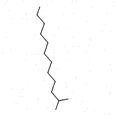 [CH2]CCCC(CCCCCCCCCC)CCCCCCCCCCCCCCCCCCC